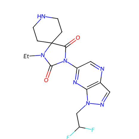 CCN1C(=O)N(c2cnc3cnn(CC(F)F)c3n2)C(=O)C12CCNCC2